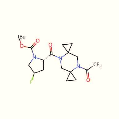 CC(C)(C)OC(=O)N1C[C@H](F)C[C@H]1C(=O)N1CC2(CC2)N(C(=O)C(F)(F)F)CC12CC2